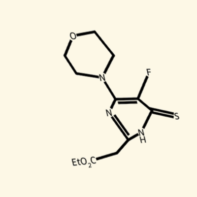 CCOC(=O)Cc1nc(N2CCOCC2)c(F)c(=S)[nH]1